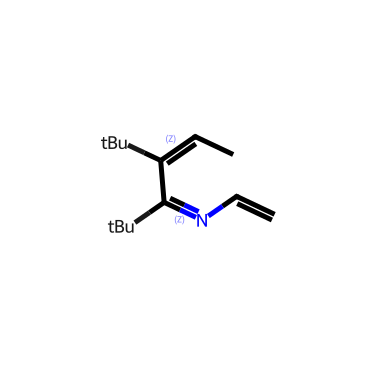 C=C/N=C(\C(=C/C)C(C)(C)C)C(C)(C)C